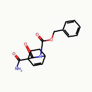 NC(=O)C12C=CC(CC1)N(C(=O)OCc1ccccc1)C2=O